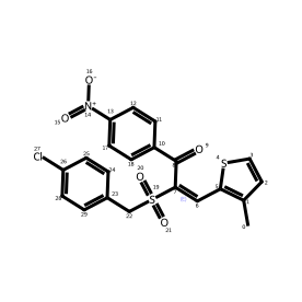 Cc1ccsc1/C=C(\C(=O)c1ccc([N+](=O)[O-])cc1)S(=O)(=O)Cc1ccc(Cl)cc1